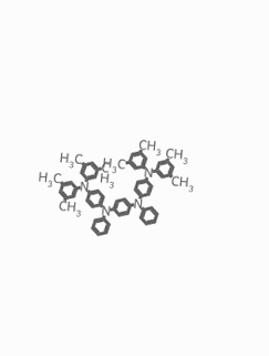 Cc1cc(C)cc(N(c2ccc(N(c3ccccc3)c3ccc(N(c4ccccc4)c4ccc(N(c5cc(C)cc(C)c5)c5cc(C)cc(C)c5)cc4)cc3)cc2)c2cc(C)cc(C)c2)c1